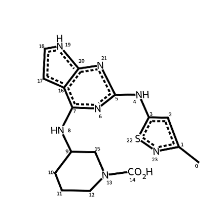 Cc1cc(Nc2nc(NC3CCCN(C(=O)O)C3)c3cc[nH]c3n2)sn1